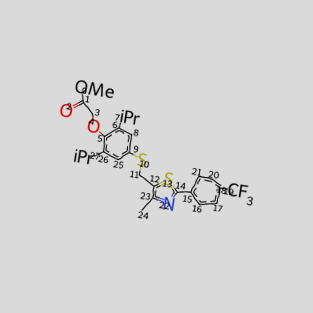 COC(=O)COc1c(C(C)C)cc(SCc2sc(-c3ccc(C(F)(F)F)cc3)nc2C)cc1C(C)C